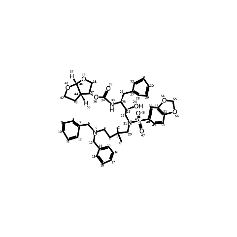 CC(C)(CCN(Cc1ccccc1)Cc1ccccc1)CN(C[C@H](O)[C@H](Cc1ccccc1)NC(=O)O[C@H]1CO[C@H]2OCC[C@H]21)S(=O)(=O)c1ccc2c(c1)OCO2